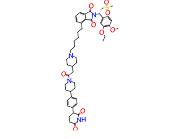 CCOc1cc([C@@H](CS(C)(=O)=O)N2C(=O)c3cccc(CCCCCCN4CCC(CC(=O)N5CCC(c6ccc(C7CCC(=O)NC7=O)cc6)CC5)CC4)c3C2=O)ccc1OC